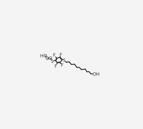 OCCCCCCCCCCCSc1c(F)c(F)c(SOOO)c(F)c1F